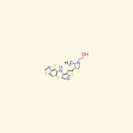 C[C@@H]1[C@H](c2cc3c(Nc4c(F)cc5scnc5c4F)ccnc3s2)CCN1CCO